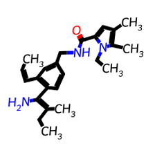 C/C=C\c1cc(CNC(=O)c2cc(C)c(C)n2CC)ccc1/C(N)=C(\C)CC